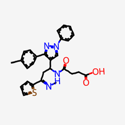 C/N=C(\CC(NC(=O)CCC(=O)O)c1cn(-c2ccccc2)nc1-c1ccc(C)cc1)c1cccs1